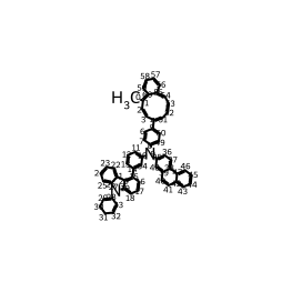 Cc1ccc(-c2ccc(N(c3cccc(-c4cccc5c4c4ccccc4n5C4=CCCC=C4)c3)c3ccc4c(ccc5ccccc54)c3)cc2)ccccc2ccccc12